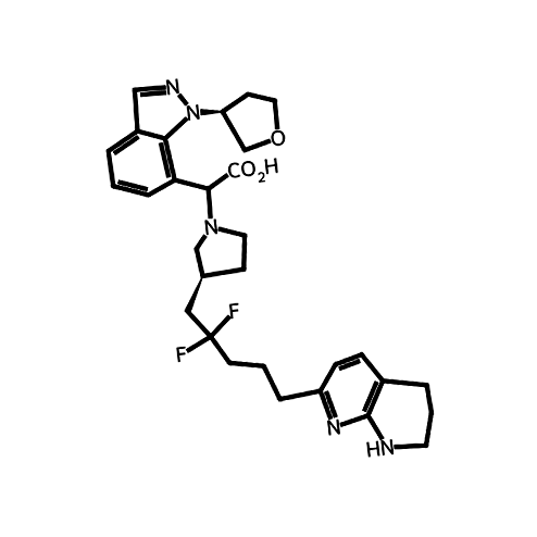 O=C(O)C(c1cccc2cnn([C@H]3CCOC3)c12)N1CC[C@@H](CC(F)(F)CCCc2ccc3c(n2)NCCC3)C1